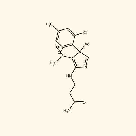 CC(=O)C1(c2c(Cl)cc(C(F)(F)F)cc2Cl)N=NC(NCCC(N)=O)=C1[S+](C)[O-]